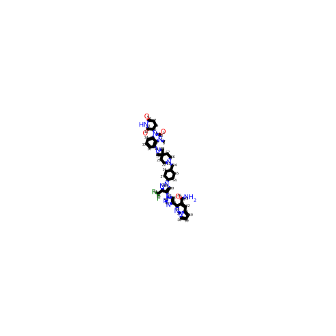 Cn1c(=O)n(C2CCC(=O)NC2=O)c2cccc(N3CC4(CCN(CC5CCC(n6cc(-n7cc(-c8nn9cccc9cc8C(N)=O)nn7)c(C(F)F)n6)CC5)CC4)C3)c21